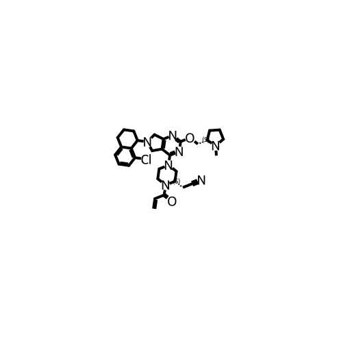 C=CC(=O)N1CCN(c2nc(OC[C@@H]3CCCN3C)nc3c2CN(C2CCCc4cccc(Cl)c42)C3)C[C@@H]1CC#N